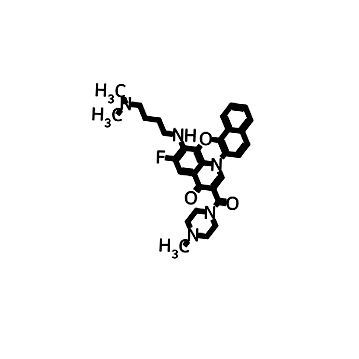 CN(C)CCCCNc1c(F)cc2c(=O)c(C(=O)N3CCN(C)CC3)cn3c2c1Oc1c-3ccc2ccccc12